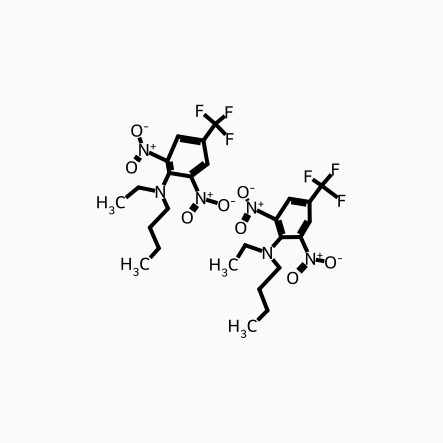 CCCCN(CC)c1c([N+](=O)[O-])cc(C(F)(F)F)cc1[N+](=O)[O-].CCCCN(CC)c1c([N+](=O)[O-])cc(C(F)(F)F)cc1[N+](=O)[O-]